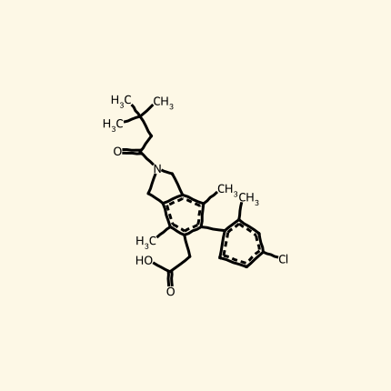 Cc1cc(Cl)ccc1-c1c(C)c2c(c(C)c1CC(=O)O)CN(C(=O)CC(C)(C)C)C2